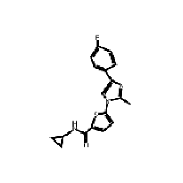 Cc1nc(-c2ccc(F)cc2)cn1-c1ccc(C(=O)NC2CC2)s1